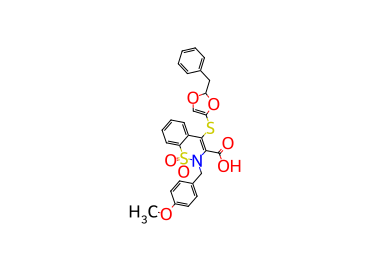 COc1ccc(CN2C(C(=O)O)=C(SC3=COC(Cc4ccccc4)O3)c3ccccc3S2(=O)=O)cc1